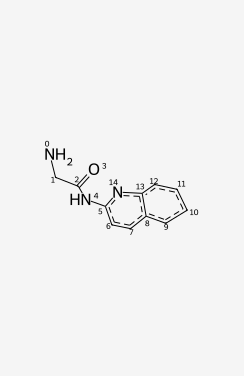 NCC(=O)Nc1ccc2ccccc2n1